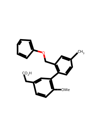 COc1ccc(CC(=O)O)cc1-c1ccc(C)cc1COc1ccccc1